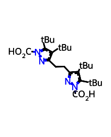 CC(C)(C)c1c(CCc2nn(C(=O)O)c(C(C)(C)C)c2C(C)(C)C)nn(C(=O)O)c1C(C)(C)C